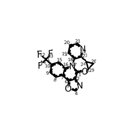 O=c1c2ncoc2c2ccc(C(F)(F)F)cc2n1-c1cccnc1C1CC1